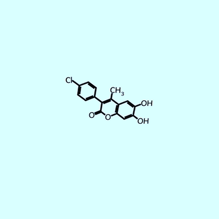 Cc1c(-c2ccc(Cl)cc2)c(=O)oc2cc(O)c(O)cc12